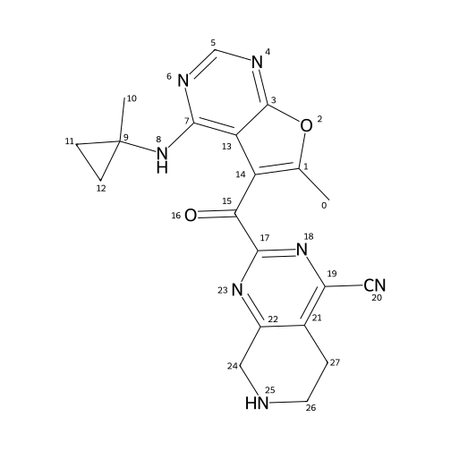 Cc1oc2ncnc(NC3(C)CC3)c2c1C(=O)c1nc(C#N)c2c(n1)CNCC2